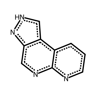 c1cnc2ncc3n[nH]cc3c2c1